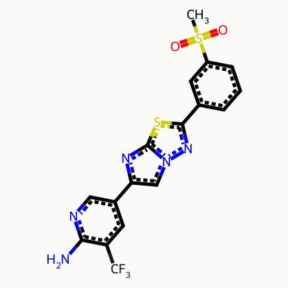 CS(=O)(=O)c1cccc(-c2nn3cc(-c4cnc(N)c(C(F)(F)F)c4)nc3s2)c1